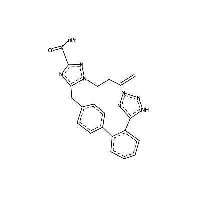 C=CCCn1nc(C(=O)CCC)nc1Cc1ccc(-c2ccccc2-c2nnn[nH]2)cc1